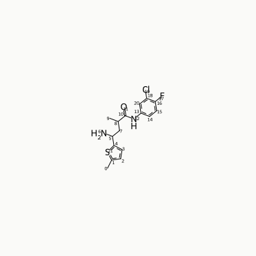 Cc1ccc(C(N)CC(C)C(=O)Nc2ccc(F)c(Cl)c2)s1